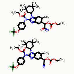 CCOC(=O)OC(C#N)c1cc2nc(N(C(=O)OCC)c3ccc(OC(F)(F)F)cc3)n(C3CC(C)(C)CC(C)(C)C3)c2cc1C.CCOC(=O)OC(C(N)=O)c1cc2nc(N(C(=O)OCC)c3ccc(OC(F)(F)F)cc3)n(C3CC(C)(C)CC(C)(C)C3)c2cc1C